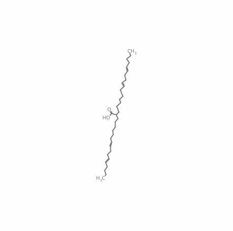 CCCCC=CCCC=CCCCCCCC(CCCCCCC=CCCC=CCCCC)C(=O)O